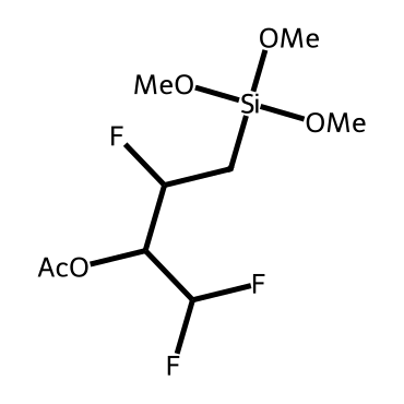 CO[Si](CC(F)C(OC(C)=O)C(F)F)(OC)OC